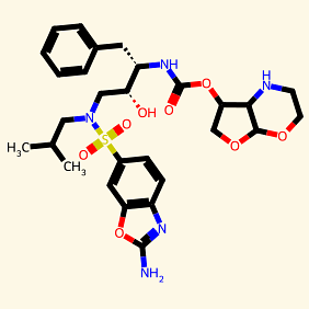 CC(C)CN(C[C@@H](O)[C@H](Cc1ccccc1)NC(=O)OC1COC2OCCNC12)S(=O)(=O)c1ccc2nc(N)oc2c1